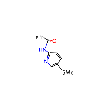 CCCC(=O)Nc1ccc(SC)cn1